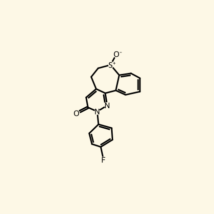 O=c1cc2c(nn1-c1ccc(F)cc1)-c1ccccc1[S+]([O-])CC2